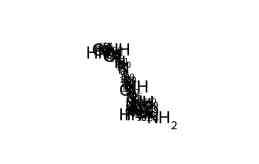 Cc1cc(N2CCN(CCC3CCN(NC(=O)c4ccc(Nc5ncc(F)c(Nc6ccc(C(N)=O)c(-c7ccccc7Cl)c6)n5)cc4)CC3)CC2)ccc1NC1CCC(=O)NC1=O